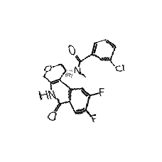 CN(C(=O)c1cccc(Cl)c1)[C@H]1COCc2[nH]c(=O)c3cc(F)c(F)cc3c21